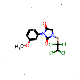 COc1cccc(N2C(=O)CN(SC(Cl)(Cl)C(Cl)Cl)C2=O)c1